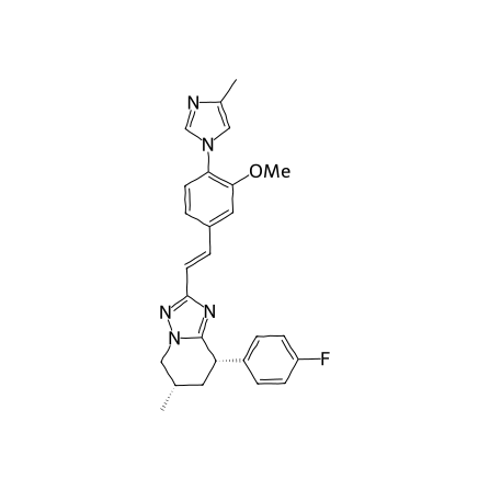 COc1cc(C=Cc2nc3n(n2)C[C@@H](C)C[C@H]3c2ccc(F)cc2)ccc1-n1cnc(C)c1